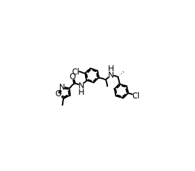 Cc1cc(C(=O)Nc2cc(C(C)N[C@H](C)c3cccc(Cl)c3)ccc2Cl)no1